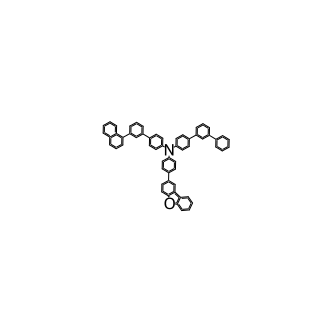 c1ccc(-c2cccc(-c3ccc(N(c4ccc(-c5cccc(-c6cccc7ccccc67)c5)cc4)c4ccc(-c5ccc6oc7ccccc7c6c5)cc4)cc3)c2)cc1